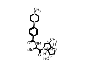 C[C@@H]1CN(C(=O)C(NC(=O)c2ccc(N3CCN(C)CC3)cc2)C(C)(C)C)[C@H]2[C@@H]1OC[C@@H]2O